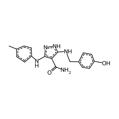 Cc1ccc(Nc2n[nH]c(NCc3ccc(O)cc3)c2C(N)=O)cc1